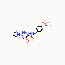 O=C(NCc1ccc(OC(F)(F)F)cc1)c1cnc(-n2cccn2)nc1O